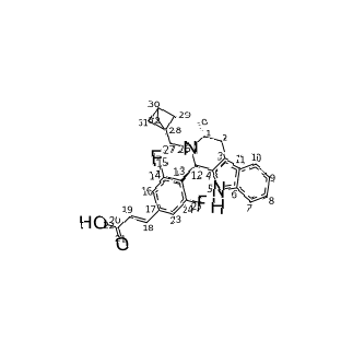 C[C@@H]1Cc2c([nH]c3ccccc23)[C@@H](c2c(F)cc(/C=C/C(=O)O)cc2F)N1CC12CC(C1)C2